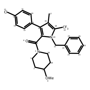 COC1CCN(C(=O)c2c(-c3ccc(Cl)cc3)c(C)c(C(F)(F)F)n2Cc2ccccc2)CC1